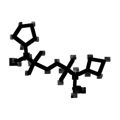 CCN(C1CCCC1)C(C)(C)CCC(C)(C)N(C1CCC1)C(C)(C)C